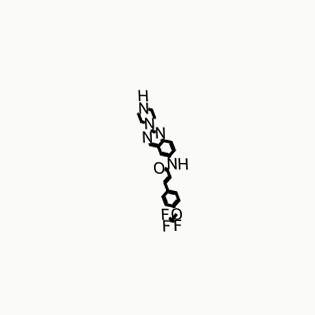 O=C(C=Cc1ccc(OC(F)(F)F)cc1)Nc1ccc2nc(N3CCNCC3)ncc2c1